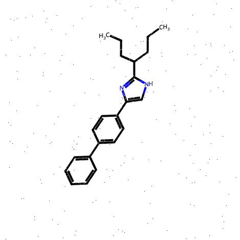 CCCC(CCC)c1nc(-c2ccc(-c3ccccc3)cc2)c[nH]1